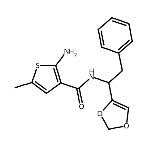 Cc1cc(C(=O)NC(Cc2ccccc2)C2=COCO2)c(N)s1